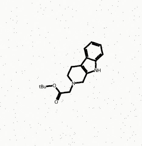 CC(C)(C)OC(=O)CN1CCc2c([nH]c3ccccc23)C1